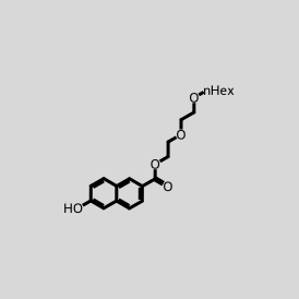 CCCCCCOCCOCCOC(=O)c1ccc2cc(O)ccc2c1